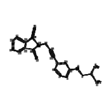 CCCC(CCC)COc1cccc(C#CCN2C(=O)c3ccccc3C2=O)c1